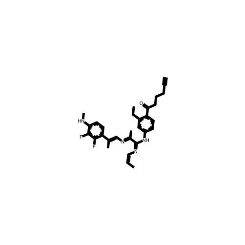 C#CCCCC(=O)c1ccc(NC(=N/C=C\C)/C(C)=N/C=C(\C)c2ccc(NC)c(F)c2F)cc1CC